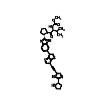 COC(=O)N[C@H](C(=O)N1CCC[C@H]1c1nc2ccc(-c3csc4c(C#Cc5cnc(C6CCCN6)[nH]5)csc34)cc2[nH]1)C(C)C